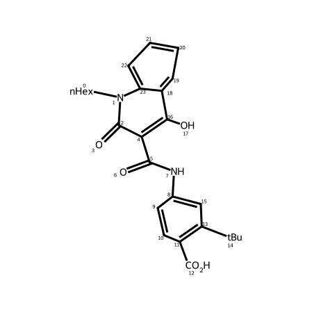 CCCCCCn1c(=O)c(C(=O)Nc2ccc(C(=O)O)c(C(C)(C)C)c2)c(O)c2ccccc21